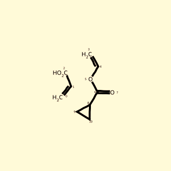 C=CC(=O)O.C=COC(=O)C1CC1